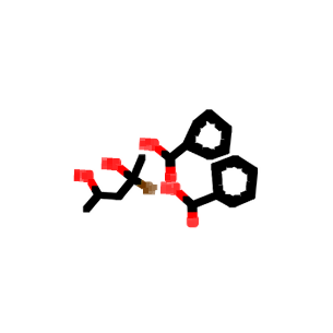 CC(O)CC(C)(O)Br.O=C(O)c1ccccc1.O=C(O)c1ccccc1